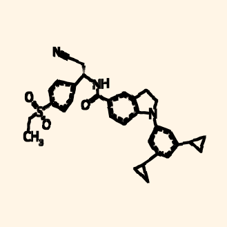 CCS(=O)(=O)c1ccc([C@H](CC#N)NC(=O)c2ccc3c(c2)CCN3c2cc(C3CC3)cc(C3CC3)c2)cc1